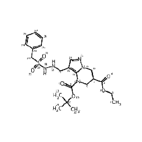 CCOC(=O)C1CN(C(=O)OC(C)(C)C)c2c(CNNS(=O)(=O)Cc3ccccc3)cnn2C1